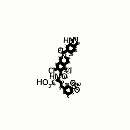 CS(=O)(=O)c1cccc(CC[C@H](NC(=O)c2c(Cl)cc3c(c2Cl)CCN(C(=O)c2ccc4cn[nH]c4c2)C3)C(=O)O)c1